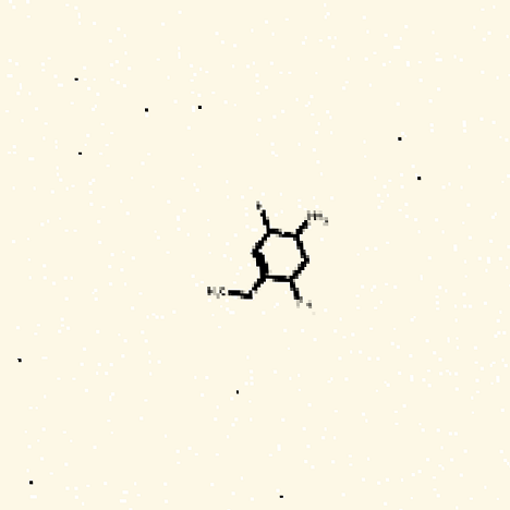 CCC1=CC(F)C(N)CC1C